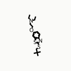 CCN(CC)CCOc1ccc2nc(SCC(C)(C)C)sc2c1